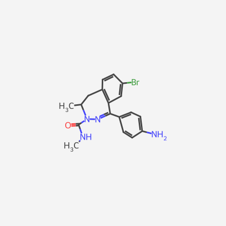 CNC(=O)N1N=C(c2ccc(N)cc2)c2cc(Br)ccc2CC1C